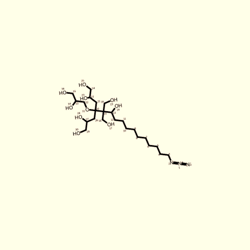 [N-]=[N+]=NCCCCCCCCCCC(O)C(CO)(CO)C(CC(O)CO)(CC(O)CO)OCC(O)CO